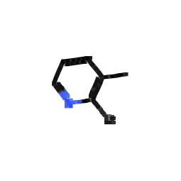 CCc1ncc[c]c1C